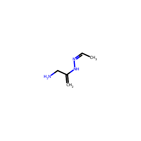 C=C(CN)N/N=C\C